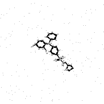 O=S(=O)(NCc1ccco1)c1ccc(N(c2ccccc2)c2ccc(F)cc2F)cc1